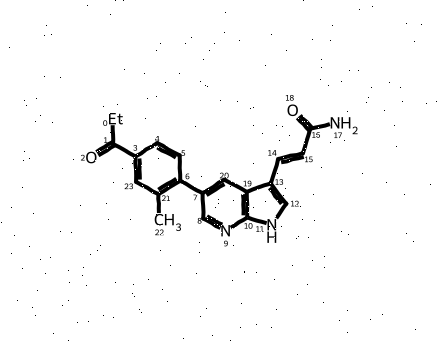 CCC(=O)c1ccc(-c2cnc3[nH]cc(C=CC(N)=O)c3c2)c(C)c1